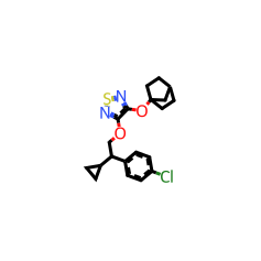 Clc1ccc(C(COc2nsnc2OC23CCC(CC2)C3)C2CC2)cc1